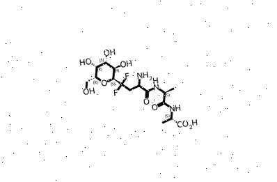 C[C@H](NC(=O)[C@H](C)NC(=O)C(N)CC(F)(F)[C@H]1O[C@H](CO)[C@H](O)[C@H](O)[C@H]1O)C(=O)O